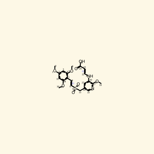 COc1cc(OC)c(/C=C/S(=O)(=O)Cc2cnc(OC)c(N/C=C/C(=O)O)c2)c(OC)c1